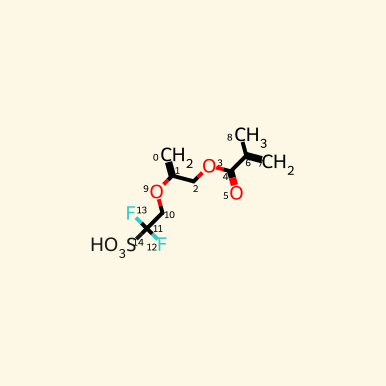 C=C(COC(=O)C(=C)C)OCC(F)(F)S(=O)(=O)O